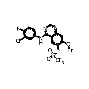 CCOc1cc2ncnc(Nc3ccc(F)c(Cl)c3)c2cc1OS(=O)(=O)C(F)(F)F